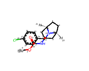 CC(C)(C)OC(=O)NC1C[C@H]2CC[C@@H](C1)N2Cc1ccc(Cl)cc1